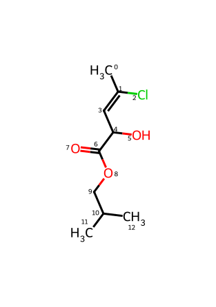 CC(Cl)=CC(O)C(=O)OCC(C)C